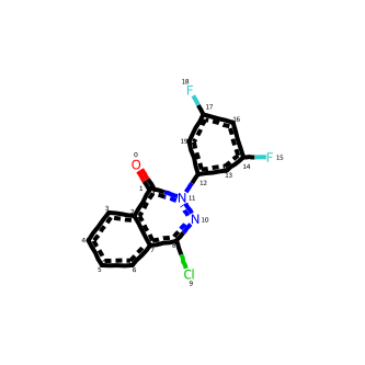 O=c1c2ccccc2c(Cl)nn1-c1cc(F)cc(F)c1